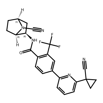 N#CN1[C@H]2CC[C@@H]1[C@H](NC(=O)c1ccc(-c3cccc(C4(C#N)CC4)n3)cc1C(F)(F)F)C2